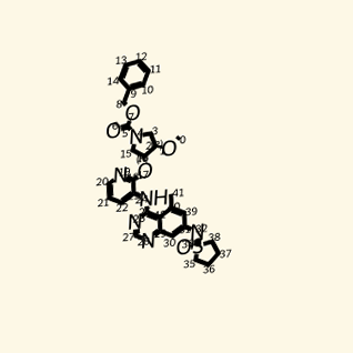 CO[C@@H]1CN(C(=O)OCc2ccccc2)C[C@H]1Oc1ncccc1Nc1ncnc2cc(N=S3(=O)CCCC3)cc(C)c12